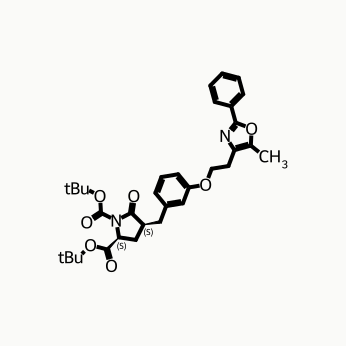 Cc1oc(-c2ccccc2)nc1CCOc1cccc(C[C@H]2C[C@@H](C(=O)OC(C)(C)C)N(C(=O)OC(C)(C)C)C2=O)c1